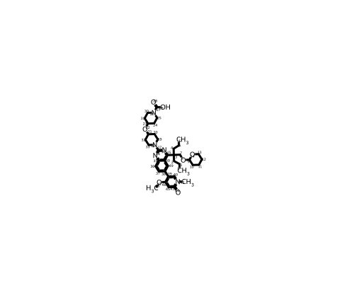 CCCC(CCC)(COC1CCCCO1)c1nc(N2CCC(OC3CCN(C(=O)O)CC3)CC2)nc2ccc(-c3cn(C)c(=O)cc3OC)cc12